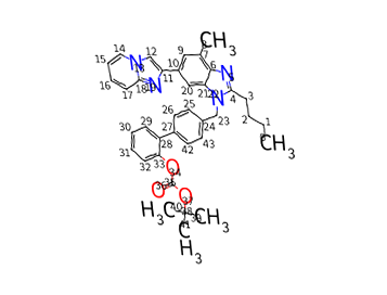 CCCCc1nc2c(C)cc(-c3cn4ccccc4n3)cc2n1Cc1ccc(-c2ccccc2OC(=O)OC(C)(C)C)cc1